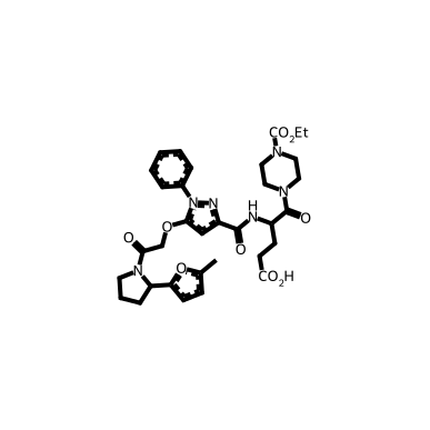 CCOC(=O)N1CCN(C(=O)C(CCC(=O)O)NC(=O)c2cc(OCC(=O)N3CCCC3c3ccc(C)o3)n(-c3ccccc3)n2)CC1